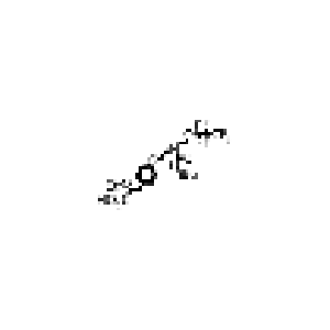 CCOC(Cc1ccc(OCCN(CCOC(F)(F)C(F)(F)C(F)(F)F)C(=O)OC(C)CC)cc1)C(=O)O